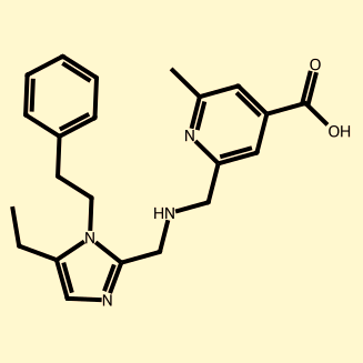 CCc1cnc(CNCc2cc(C(=O)O)cc(C)n2)n1CCc1ccccc1